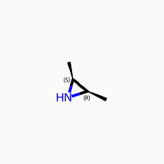 C[C@@H]1N[C@@H]1C